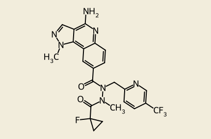 CN(C(=O)C1(F)CC1)N(Cc1ccc(C(F)(F)F)cn1)C(=O)c1ccc2nc(N)c3cnn(C)c3c2c1